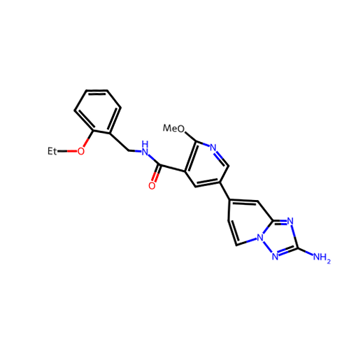 CCOc1ccccc1CNC(=O)c1cc(-c2ccn3nc(N)nc3c2)cnc1OC